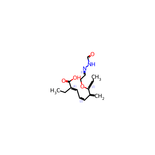 C=C(/C=C\C=C(/CC)C(=O)O)/C(=C/C)OC/C=N/NC=O